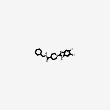 O=C(NCC1CCCCC1)C1CCN(c2nc3cc(Cl)c(Cl)cc3[nH]2)CC1